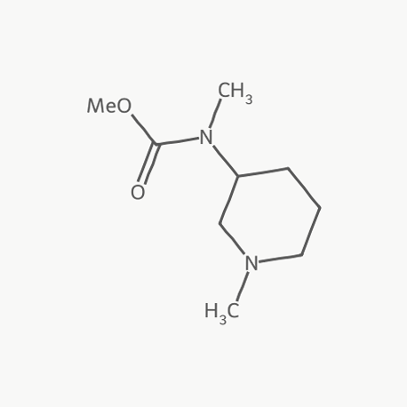 COC(=O)N(C)C1CCCN(C)C1